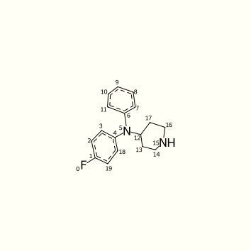 Fc1ccc(N(c2ccccc2)C2CCNCC2)cc1